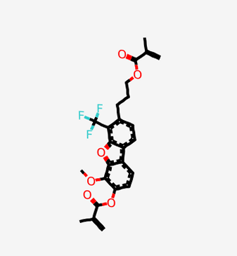 C=C(C)C(=O)OCCCc1ccc2c(oc3c(OC)c(OC(=O)C(=C)C)ccc32)c1C(F)(F)F